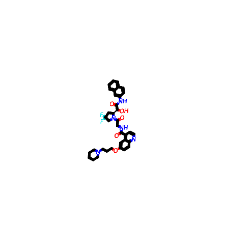 O=C(NCC(=O)N1CC(F)(F)C[C@H]1C(O)C(=O)Nc1ccc2ccccc2c1)c1ccnc2ccc(OCCCN3CCCCC3)cc12